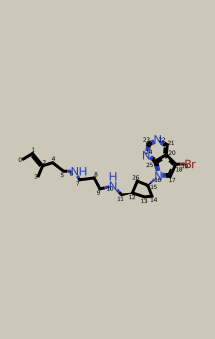 C/C=C(\C)CCNCCCNC[C@@H]1CC[C@H](n2cc(Br)c3cncnc32)C1